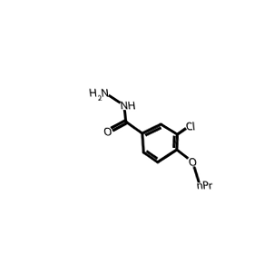 CCCOc1ccc(C(=O)NN)cc1Cl